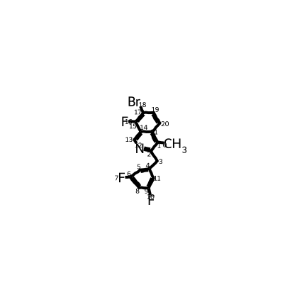 Cc1c(Cc2cc(F)cc(F)c2)ncc2c(F)c(Br)ccc12